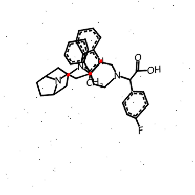 Cc1nc2ccccc2n1C1CC2CCC(C1)N2CCC1(c2ccccc2)CCN(C(C(=O)O)c2ccc(F)cc2)CC1